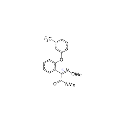 CNC(=O)/C(=N\OC)c1ccccc1Oc1cccc(C(F)(F)F)c1